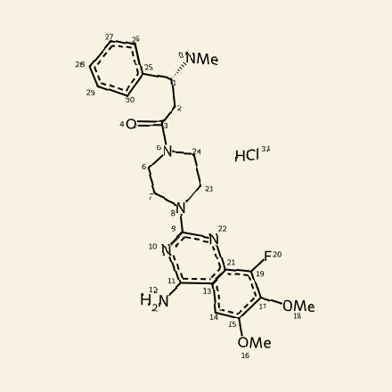 CN[C@H](CC(=O)N1CCN(c2nc(N)c3cc(OC)c(OC)c(F)c3n2)CC1)c1ccccc1.Cl